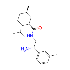 Cc1cccc([C@H](N)CNC(=O)[C@@H]2C[C@H](C)CC[C@H]2C(C)C)c1